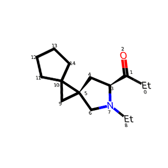 CCC(=O)[C@@H]1C[C@@]2(CN1CC)CC21CCCC1